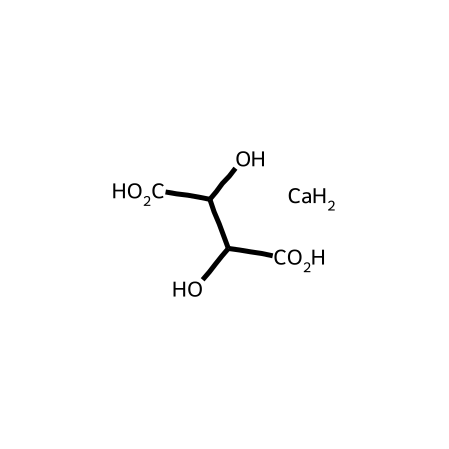 O=C(O)C(O)C(O)C(=O)O.[CaH2]